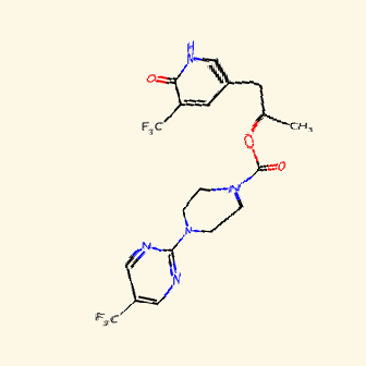 CC(Cc1c[nH]c(=O)c(C(F)(F)F)c1)OC(=O)N1CCN(c2ncc(C(F)(F)F)cn2)CC1